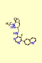 C=C1C=CC(CNc2ncnc(-c3ccc4ncccc4c3)c2F)NN1C